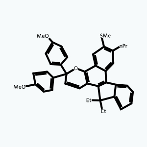 CCCc1cc2c3c(c4c(c2cc1SC)OC(c1ccc(OC)cc1)(c1ccc(OC)cc1)C=C4)C(CC)(CC)c1ccccc1-3